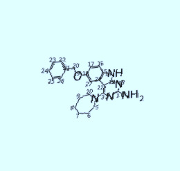 Nc1nc(N2CCCCCC2)c2c(n1)[nH]c1ccc(OCc3ccccc3)cc12